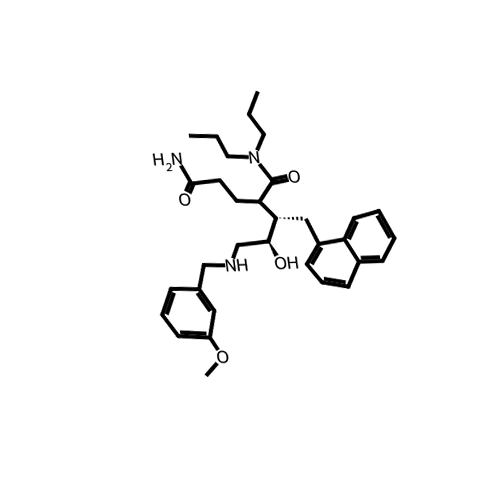 CCCN(CCC)C(=O)C(CCC(N)=O)[C@H](Cc1cccc2ccccc12)[C@@H](O)CNCc1cccc(OC)c1